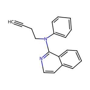 C#CCCN(c1ccccc1)c1nccc2ccccc12